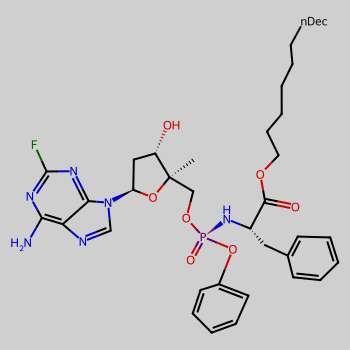 CCCCCCCCCCCCCCCCOC(=O)[C@H](Cc1ccccc1)N[P@@](=O)(OC[C@@]1(C)O[C@@H](n2cnc3c(N)nc(F)nc32)C[C@@H]1O)Oc1ccccc1